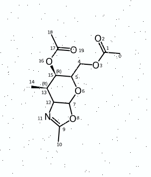 CC(=O)OCC1OC2OC(C)=NC2[C@@H](C)[C@H]1OC(C)=O